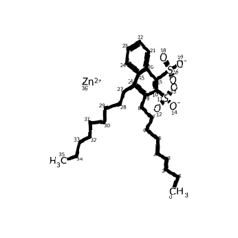 CCCCCCCCCc1c(S(=O)(=O)[O-])c(S(=O)(=O)[O-])c2ccccc2c1CCCCCCCCC.[Zn+2]